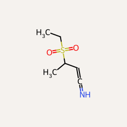 CCS(=O)(=O)C(C)C=C=N